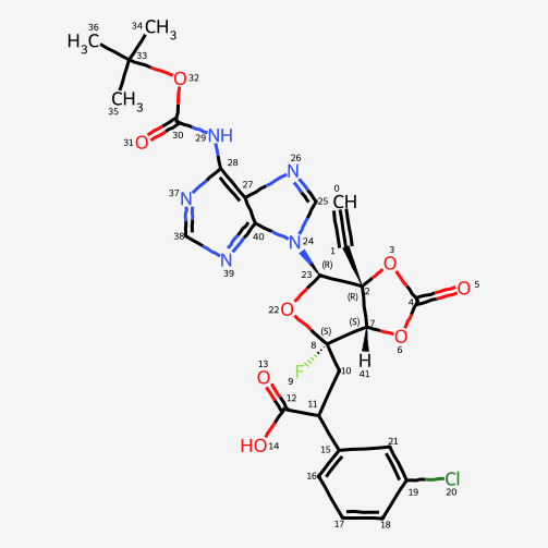 C#C[C@@]12OC(=O)O[C@@H]1[C@@](F)(CC(C(=O)O)c1cccc(Cl)c1)O[C@H]2n1cnc2c(NC(=O)OC(C)(C)C)ncnc21